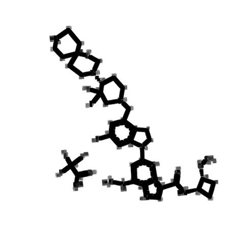 CNc1cc(N2CCc3c(CN4CC[C@@H](N5CCC6(CCNCC6)CC5)C(F)(F)C4)cc(F)cc32)nn2c(C(=O)N[C@@H]3CC[C@H]3OC)cnc12.O=C(O)C(F)(F)F